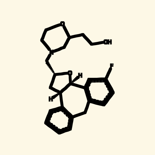 OCCC1CN(C[C@H]2C[C@@H]3c4ccccc4Cc4ccc(F)cc4[C@@H]3O2)CCO1